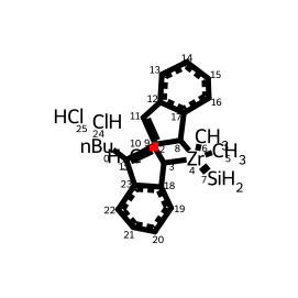 CCCCC1=C[CH]([Zr]([CH3])([CH3])(=[SiH2])[CH]2C(C)=Cc3ccccc32)c2ccccc21.Cl.Cl